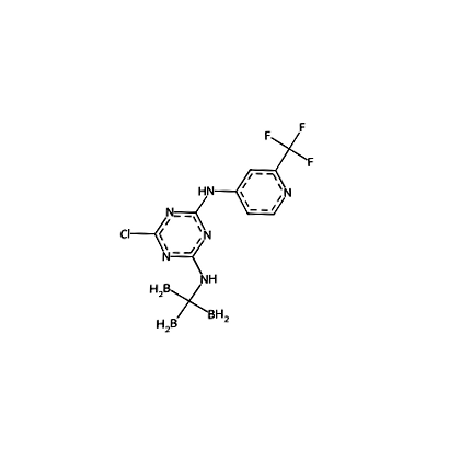 BC(B)(B)Nc1nc(Cl)nc(Nc2ccnc(C(F)(F)F)c2)n1